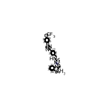 Cc1cs/c(=N\C(=S)NCc2ccc(-c3ncn(-c4ccc(OC(F)(F)F)cc4)n3)cc2)n1-c1ccccc1C(C)C